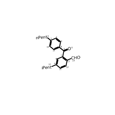 CCCCCc1ccc(C(=O)c2cc(C(C)CCC)ccc2[C]=O)cc1